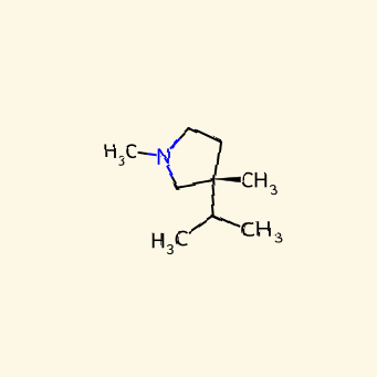 CC(C)[C@@]1(C)CCN(C)C1